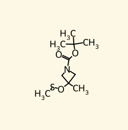 CSOC1(C)CN(C(=O)OC(C)(C)C)C1